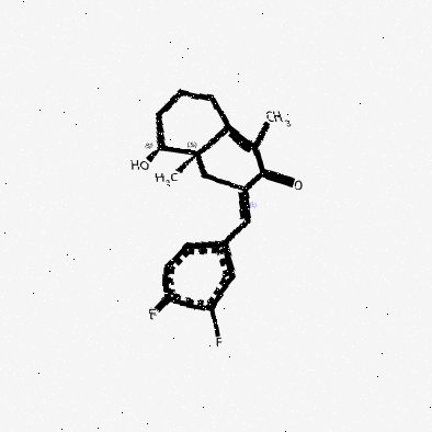 CC1=C2CCC[C@H](O)[C@@]2(C)C/C(=C\c2ccc(F)c(F)c2)C1=O